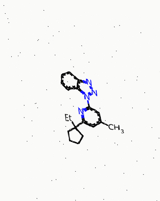 CCC1(c2cc(C)cc(-n3nnc4ccccc43)n2)CCCC1